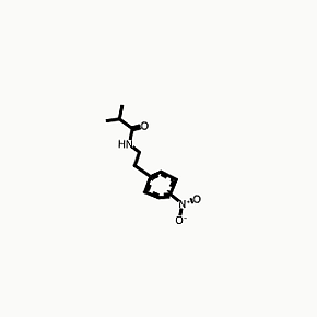 CC(C)C(=O)NCCc1ccc([N+](=O)[O-])cc1